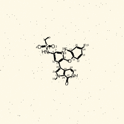 CCS(=O)(=O)Nc1cnc(Oc2ccc(F)cc2F)c(-c2cn(C)c3c(=O)[nH]ccc23)c1